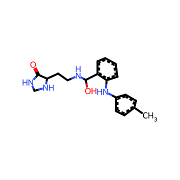 Cc1ccc(Nc2ccccc2C(O)NCCC2NCNC2=O)cc1